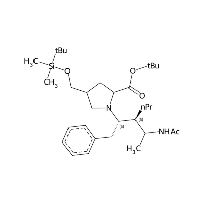 CCC[C@@H](C(C)NC(C)=O)[C@H](Cc1ccccc1)N1CC(CO[Si](C)(C)C(C)(C)C)CC1C(=O)OC(C)(C)C